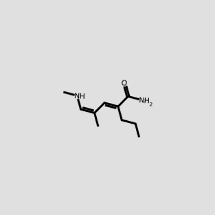 CCC/C(=C\C(C)=C/NC)C(N)=O